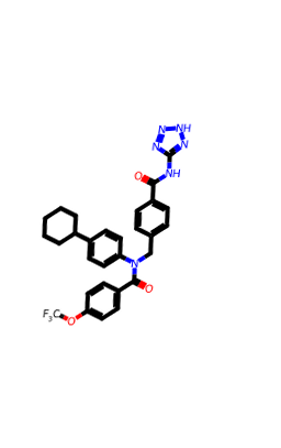 O=C(Nc1nn[nH]n1)c1ccc(CN(C(=O)c2ccc(OC(F)(F)F)cc2)c2ccc(C3CCCCC3)cc2)cc1